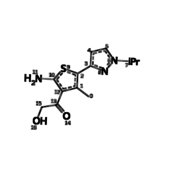 Cc1c(-c2ccn(C(C)C)n2)sc(N)c1C(=O)CO